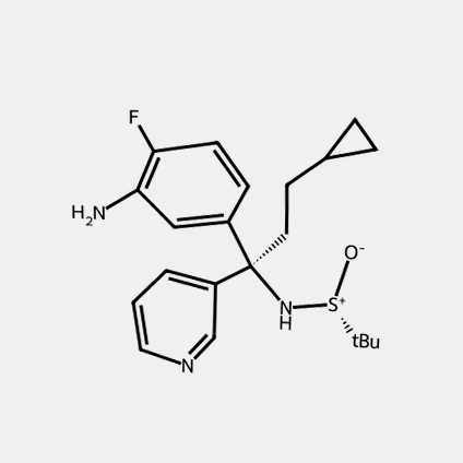 CC(C)(C)[S@@+]([O-])N[C@@](CCC1CC1)(c1cccnc1)c1ccc(F)c(N)c1